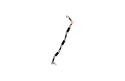 BB=BB=BB=BOCC